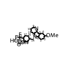 COc1ccc2c(c1)c1ncccc1n2Cc1ccc(C(F)(F)P(=O)(O)O)cc1